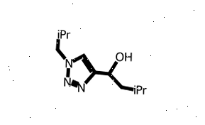 CC(C)CC(O)c1cn(CC(C)C)nn1